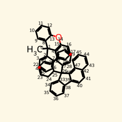 CC1(c2ccccc2)c2ccccc2Oc2cccc(C3=CC=CCC3C3(c4ccccc4)c4ccccc4-c4ccc5ccccc5c43)c21